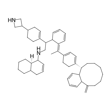 C=C1CCCCCC[C@@H](C2=CC=C(/C(C)=C3\C=CC=CC3C(CNC3C=CCC4CCCC[C@H]43)C3=CCC(C4CNC4)CC3)CC2)C2C=CC=CC12